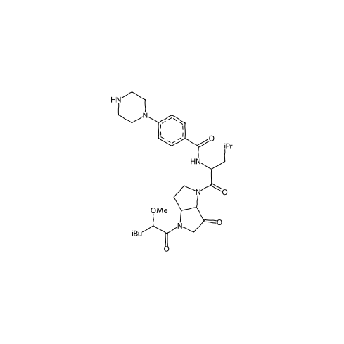 CCC(C)C(OC)C(=O)N1CC(=O)C2C1CCN2C(=O)C(CC(C)C)NC(=O)c1ccc(N2CCNCC2)cc1